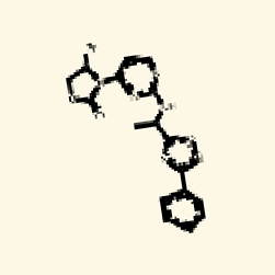 CC(Nc1nccc(N2C(=O)OCC2C(C)C)n1)c1nc(-c2ccccc2)no1